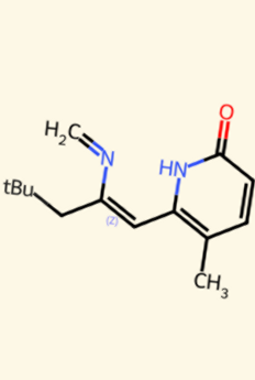 C=N/C(=C\c1[nH]c(=O)ccc1C)CC(C)(C)C